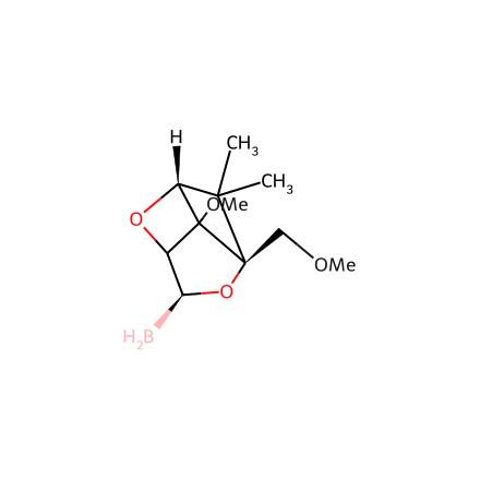 B[C@@H]1O[C@@]2(COC)C(C)(C)[C@H]3OC1C32OC